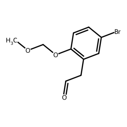 COCOc1ccc(Br)cc1CC=O